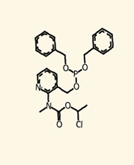 CC(Cl)OC(=O)N(C)c1ncccc1COP(OCc1ccccc1)OCc1ccccc1